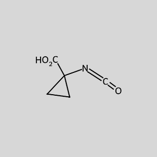 O=C=NC1(C(=O)O)CC1